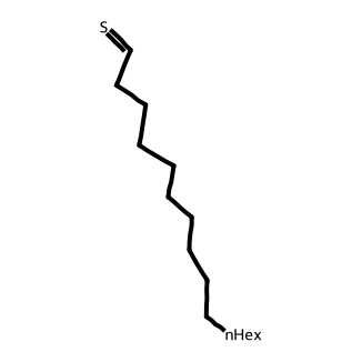 [CH2]CCCCCCCCCCCCCCC=S